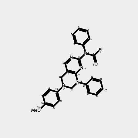 CCC(=O)N(c1ccccc1)c1ncc2c(n1)N(c1ccccc1)CN(c1ccc(OC)cc1)C2